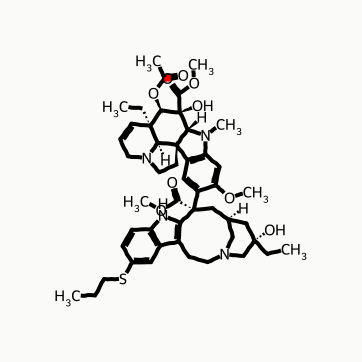 CCCSc1ccc2[nH]c3c(c2c1)CCN1C[C@H](C[C@@](O)(CC)C1)C[C@]3(C(=O)OC)c1cc2c(cc1OC)N(C)[C@H]1[C@@](O)(C(=O)OC)[C@H](OC(C)=O)[C@]3(CC)C=CCN4CC[C@]21[C@@H]43